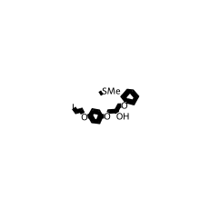 CSC.OC(COc1ccccc1)COc1ccc(OCCI)cc1